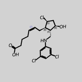 O=C(O)CCC/C=C\C[C@@H]1[C@@H](CNc2cc(Cl)cc(Cl)c2)[C@H](O)C[C@@H]1Cl